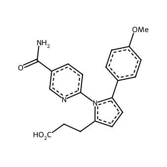 COc1ccc(-c2ccc(CCC(=O)O)n2-c2ccc(C(N)=O)cn2)cc1